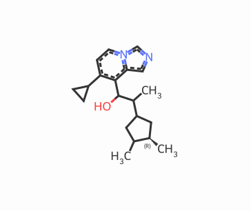 CC(C1CC(C)[C@H](C)C1)C(O)c1c(C2CC2)ccn2cncc12